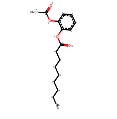 CCCCCCCCCC(=O)Oc1ccccc1OC(=O)CCCCCCCC(C)C